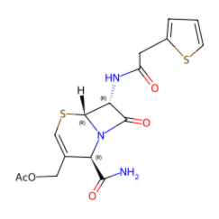 CC(=O)OCC1=CS[C@@H]2[C@H](NC(=O)Cc3cccs3)C(=O)N2[C@H]1C(N)=O